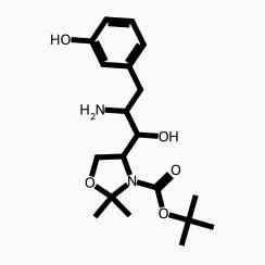 CC(C)(C)OC(=O)N1C(C(O)C(N)Cc2cccc(O)c2)COC1(C)C